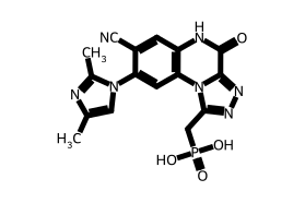 Cc1cn(-c2cc3c(cc2C#N)[nH]c(=O)c2nnc(CP(=O)(O)O)n23)c(C)n1